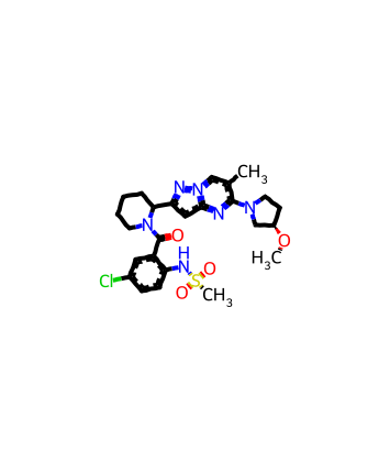 CO[C@@H]1CCN(c2nc3cc(C4CCCCN4C(=O)c4cc(Cl)ccc4NS(C)(=O)=O)nn3cc2C)C1